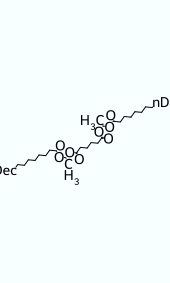 CCCCCCCCCCCCCCCCCC(=O)OC(C)OC(=O)CCCCC(=O)OC(C)OC(=O)CCCCCCCCCCCCCCCCC